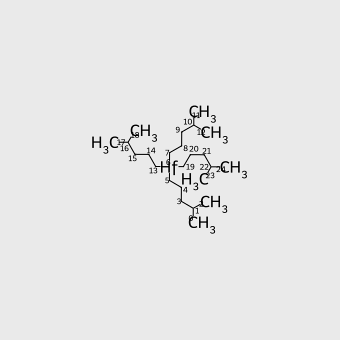 CC(C)CC[CH2][Hf]([CH2]CCC(C)C)([CH2]CCC(C)C)[CH2]CCC(C)C